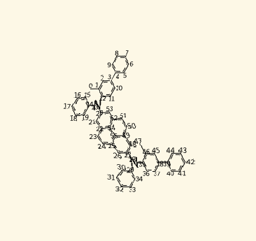 Cc1cc(-c2ccccc2)ccc1N(c1ccccc1)c1cc2ccc3cc(N(c4ccccc4)c4ccc(-c5ccccc5)cc4C)cc4ccc(c1)c2c34